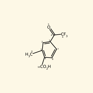 Cc1cc(C(=O)C(F)(F)F)ccc1C(=O)O